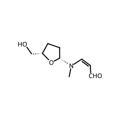 CN(/C=C\C=O)[C@H]1CC[C@@H](CO)O1